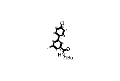 CC(C)(C)NC(=O)c1cc(I)cc(-c2ccc(Cl)cc2)c1